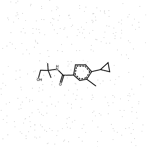 Cc1cc(C(=O)NC(C)(C)CO)ccc1C1CC1